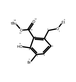 CCOCc1ccc(Br)c(O)c1C(=O)OC(C)(C)C